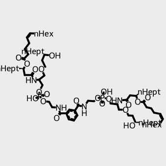 CCCCCC/C=C\CCCC(=O)O[C@H](CCCCCCC)CC(=O)NC(COCC[C@H](O)CCCCCCC)COP(=O)(O)OCCNC(=O)c1cccc(C(=O)NCCOP(=O)(O)OCC(COCC[C@H](O)CCCCCCC)NC(=O)C[C@@H](CCCCCCC)OC(=O)CCC/C=C\CCCCCC)c1